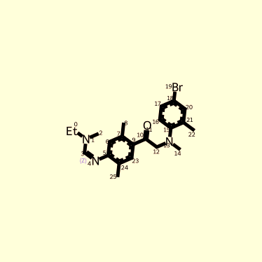 CCN(C)/C=N\c1cc(C)c(C(=O)CN(C)c2ccc(Br)cc2C)cc1C